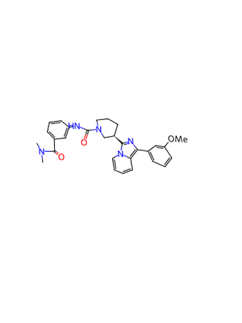 COc1cccc(-c2nc([C@@H]3CCCN(C(=O)Nc4cccc(C(=O)N(C)C)c4)C3)n3ccccc23)c1